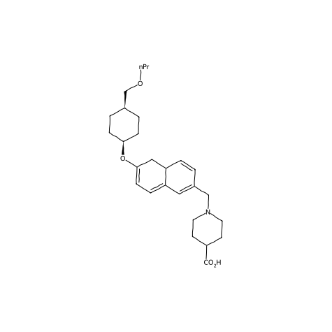 CCCOC[C@H]1CC[C@@H](OC2=CC=C3C=C(CN4CCC(C(=O)O)CC4)C=CC3C2)CC1